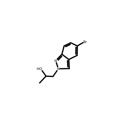 CC(O)Cn1cc2cc(Br)ccc2n1